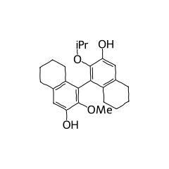 COc1c(O)cc2c(c1-c1c3c(cc(O)c1OC(C)C)CCCC3)CCCC2